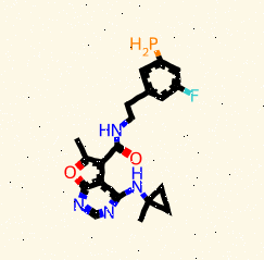 Cc1oc2ncnc(NC3(C)CC3)c2c1C(=O)NCCc1cc(F)cc(P)c1